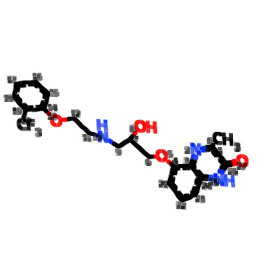 Cc1nc2c(OCC(O)CNCCOc3ccccc3C(F)(F)F)cccc2[nH]c1=O